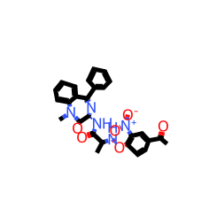 CC(=O)c1ccc(ONC(C)C(=O)N[C@H]2N=C(c3ccccc3)c3ccccc3N(C)C2=O)c([N+](=O)[O-])c1